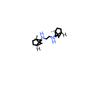 CC1(C)[C@@H]2CC[C@]1(C)C(NCCNC1C[C@H]3CC[C@@]1(C)C3(C)C)C2